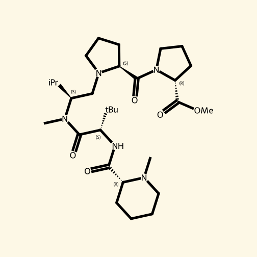 COC(=O)[C@H]1CCCN1C(=O)[C@@H]1CCCN1C[C@H](C(C)C)N(C)C(=O)[C@@H](NC(=O)[C@H]1CCCCN1C)C(C)(C)C